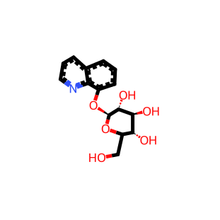 OCC1O[C@@H](Oc2cccc3cccnc23)[C@H](O)[C@@H](O)[C@@H]1O